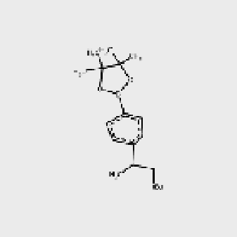 CC(CC(C)(C)C)c1ccc(B2OC(C)(C)C(C)(C)O2)cc1